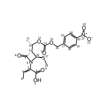 CC=C(C(=O)O)N1C(=O)[C@H]([C@H](C)OC(=O)OCc2ccc([N+](=O)[O-])cc2)[C@H]1SC